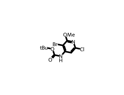 COc1nc(Cl)cc(NC(=O)OC(C)(C)C)c1Br